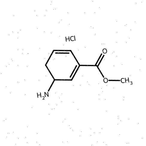 COC(=O)C1=CC(N)CC=C1.Cl